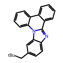 CC(C)(C)Cc1ccc2nc3c4ccccc4c4ccccc4n3c2c1